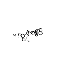 Cc1cc(C)cc(-c2csc(N3CCC(S(=O)(=O)C4C=CC=CC4(C)Cl)CC3)n2)c1